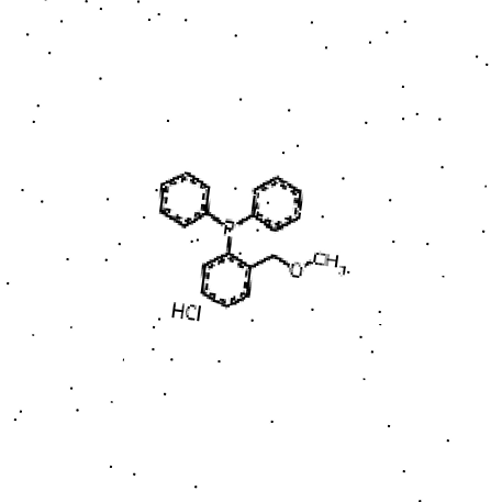 COCc1ccccc1P(c1ccccc1)c1ccccc1.Cl